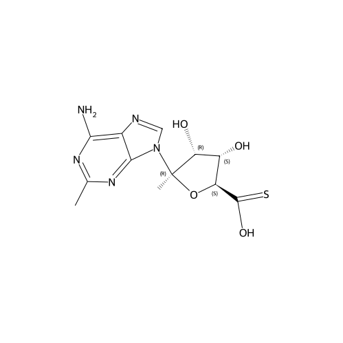 Cc1nc(N)c2ncn([C@]3(C)O[C@H](C(O)=S)[C@@H](O)[C@H]3O)c2n1